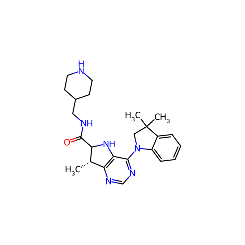 C[C@H]1c2ncnc(N3CC(C)(C)c4ccccc43)c2NC1C(=O)NCC1CCNCC1